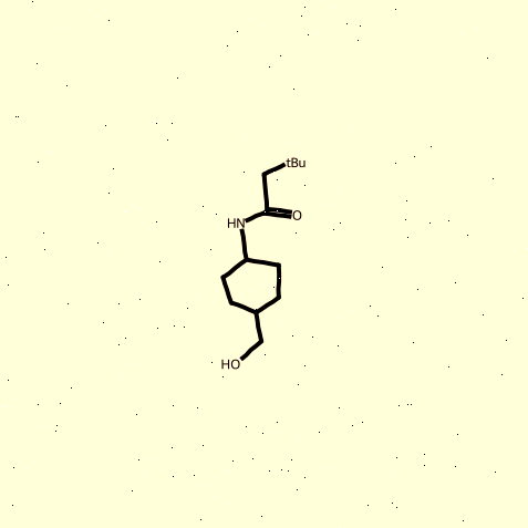 CC(C)(C)CC(=O)NC1CCC(CO)CC1